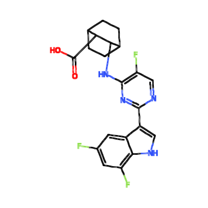 O=C(O)C1C2CCC(CC2)C1Nc1nc(-c2c[nH]c3c(F)cc(F)cc23)ncc1F